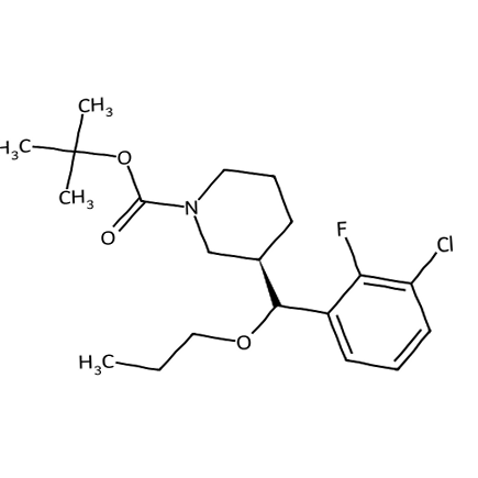 CCCOC(c1cccc(Cl)c1F)[C@@H]1CCCN(C(=O)OC(C)(C)C)C1